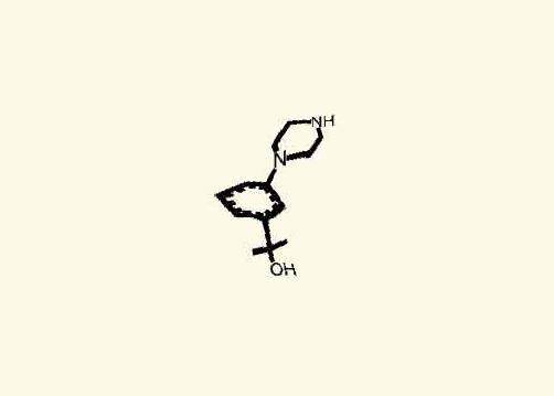 CC(C)(O)c1cccc(N2CCNCC2)c1